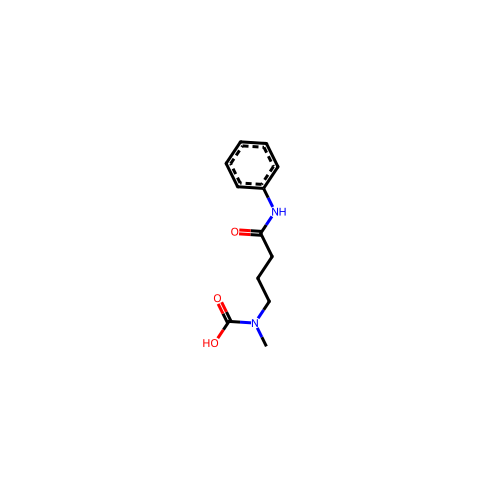 CN(CCCC(=O)Nc1ccccc1)C(=O)O